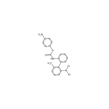 CCN(CC)c1cccc(C)c1-c1ccccc1NC(=O)Oc1ccc([N+](=O)[O-])cc1